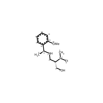 CCN(C)[C@H](CO)CN[C@@H](C)c1ccccc1OC